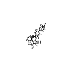 CC(=O)c1c(C)[nH]c(-c2nc3cc(N4CCN(C)CC4)ccc3[nH]2)c1-c1ccccc1